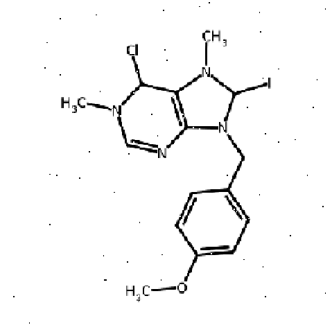 COc1ccc(CN2C3=C(C(Cl)N(C)C=N3)N(C)C2I)cc1